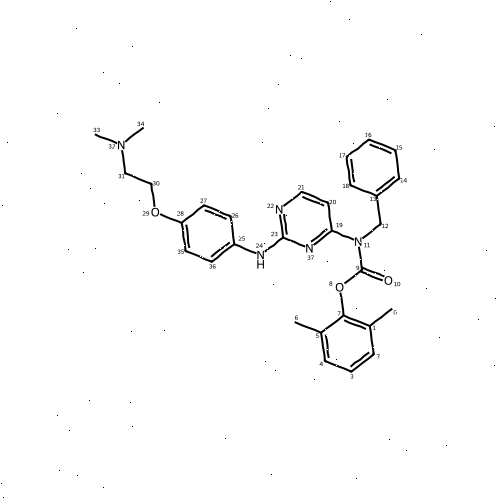 Cc1cccc(C)c1OC(=O)N(Cc1ccccc1)c1ccnc(Nc2ccc(OCCN(C)C)cc2)n1